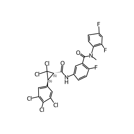 CN(C(=O)c1cc(NC(=O)[C@@H]2[C@@H](c3cc(Cl)c(Cl)c(Cl)c3)C2(Cl)Cl)ccc1F)c1ccc(F)cc1F